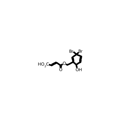 O=C(O)/C=C/C(=O)OCC1=CC(Br)(Br)C=CC1O